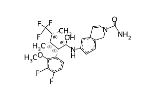 COc1c([C@H]([C@H](C)[C@@H](C)C(F)(F)F)[C@@H](O)Nc2ccc3c(c2)C=CN(C(N)=O)C3)ccc(F)c1F